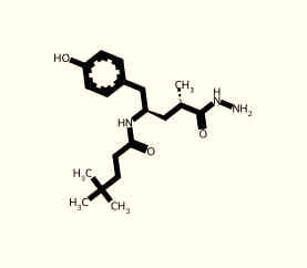 C[C@@H](C[C@H](Cc1ccc(O)cc1)NC(=O)CCC(C)(C)C)C(=O)NN